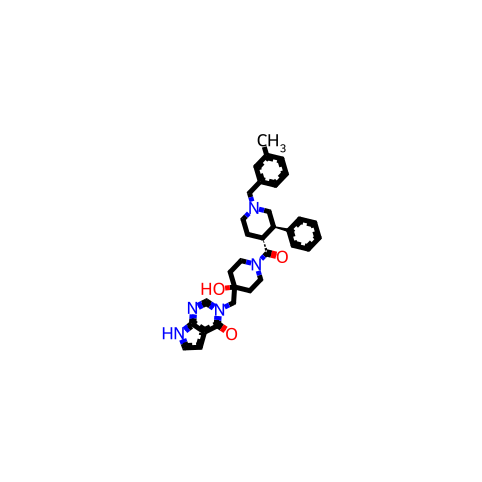 Cc1cccc(CN2CC[C@@H](C(=O)N3CCC(O)(Cn4cnc5[nH]ccc5c4=O)CC3)[C@H](c3ccccc3)C2)c1